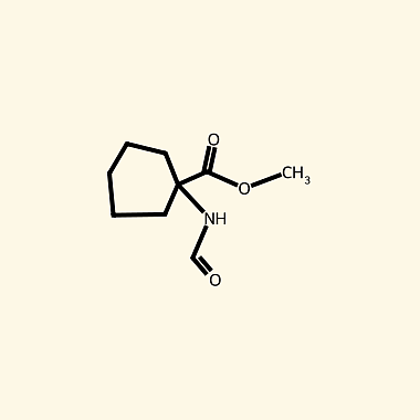 COC(=O)C1(NC=O)CCCCC1